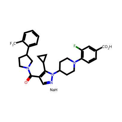 O=C(O)c1ccc(N2CCC(n3ncc(C(=O)N4CCC(c5ccccc5C(F)(F)F)C4)c3C3CC3)CC2)c(F)c1.[NaH]